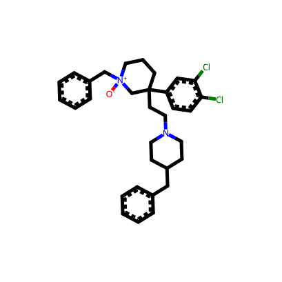 [O-][N+]1(Cc2ccccc2)CCCC(CCN2CCC(Cc3ccccc3)CC2)(c2ccc(Cl)c(Cl)c2)C1